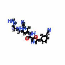 N#Cc1cccc(-c2cnc(C(=O)N[C@@H]3C[C@@H](CN/C=C\N=N)N(C#N)C3)o2)c1